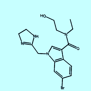 CCN(CCO)C(=O)c1cn(CC2=NCCN2)c2cc(Br)ccc12